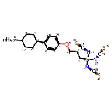 CCCCCCC1CCC(c2ccc(OCCC[Si](N=C=S)(N=C=S)N=C=S)cc2)CC1